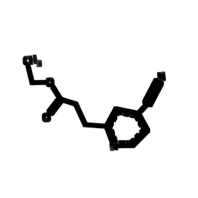 CCOC(=O)CCc1cc(C#N)ccn1